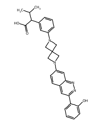 CC(C)C(C(=O)O)c1cccc(N2CC3(C2)CN(c2ccc4cc(-c5ccccc5O)nnc4c2)C3)c1